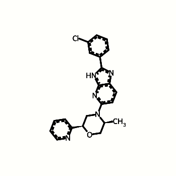 C[C@H]1CO[C@@H](c2ccccn2)CN1c1ccc2nc(-c3cccc(Cl)c3)[nH]c2n1